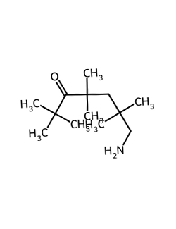 CC(C)(CN)CC(C)(C)C(=O)C(C)(C)C